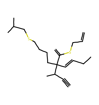 C#CC(C)C(C=CCC)(CCCCSCC(C)C)C(=C)SCC=C